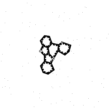 c1cc2oc3c4ccccc4n4c5cccnc5c(c1)c2c34